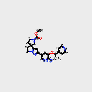 CC(Oc1cc(-c2cc3n(n2)CCC32CCN(C(=O)OC(C)(C)C)C2)cnc1N)c1ccncc1